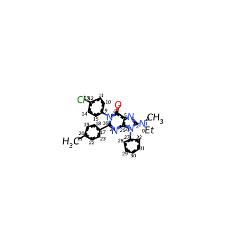 CCN(C)c1nc2c(=O)n(-c3ccc(Cl)cc3)c(-c3ccc(C)cc3)nc2n1-c1ccccc1